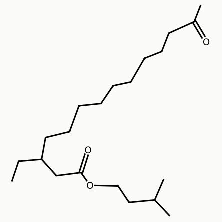 CCC(CCCCCCCCCC(C)=O)CC(=O)OCCC(C)C